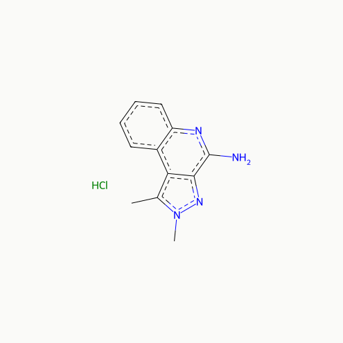 Cc1c2c(nn1C)c(N)nc1ccccc12.Cl